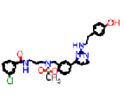 CS(=O)(=O)N(CCCNC(=O)c1cccc(Cl)c1)Cc1cccc(-c2ccnc(NCCc3ccc(O)cc3)n2)c1